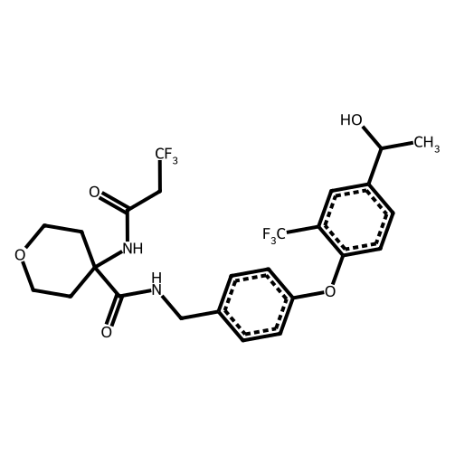 CC(O)c1ccc(Oc2ccc(CNC(=O)C3(NC(=O)CC(F)(F)F)CCOCC3)cc2)c(C(F)(F)F)c1